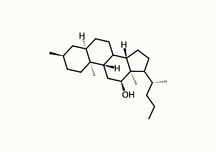 CCC[C@@H](C)C1CC[C@H]2C3CC[C@@H]4C[C@H](C)CC[C@]4(C)[C@H]3C[C@H](O)[C@]12C